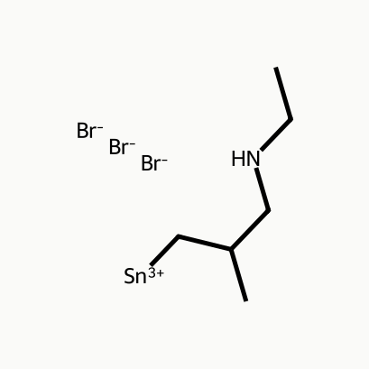 CCNCC(C)[CH2][Sn+3].[Br-].[Br-].[Br-]